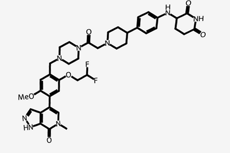 COc1cc(CN2CCN(C(=O)CN3CCC(c4ccc(NC5CCC(=O)NC5=O)cc4)CC3)CC2)c(OCC(F)F)cc1-c1cn(C)c(=O)c2[nH]ncc12